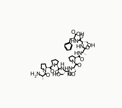 C[C@H](N)C(=O)N1CCC[C@H]1C(=O)N1CCC[C@H]1C(=O)N[C@@H](CO)C(=O)N[C@@H](CO)C(=O)N1CCC[C@H]1C(=O)N[C@@H](C)C(=O)N[C@@H](CO)C(=O)N[C@@H](Cc1ccccc1)C(=O)O